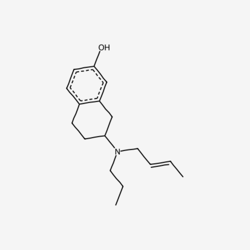 C/C=C/CN(CCC)C1CCc2ccc(O)cc2C1